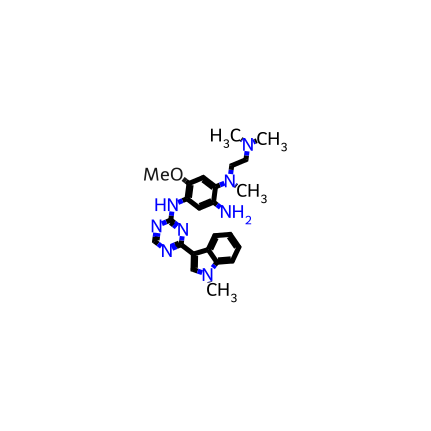 COc1cc(N(C)CCN(C)C)c(N)cc1Nc1ncnc(-c2cn(C)c3ccccc23)n1